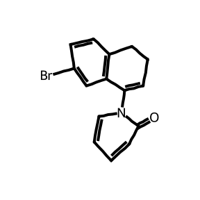 O=c1ccccn1C1=CCCc2ccc(Br)cc21